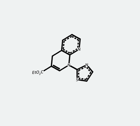 CCOC(=O)C1=CN(c2nccs2)c2ncccc2C1